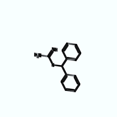 N=C(N)SC(c1ccccc1)c1ccccc1